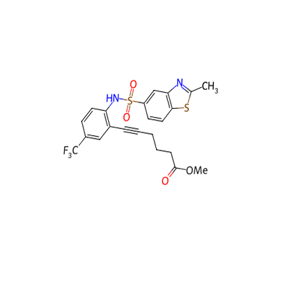 COC(=O)CCCC#Cc1cc(C(F)(F)F)ccc1NS(=O)(=O)c1ccc2sc(C)nc2c1